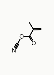 C=C(C)C(=O)OC#N